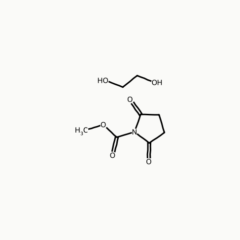 COC(=O)N1C(=O)CCC1=O.OCCO